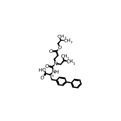 CC(C)COC(=O)CCN(CC(C)C)C(=O)N[C@@H](Cc1ccc(-c2ccccc2)cc1)C(=O)O